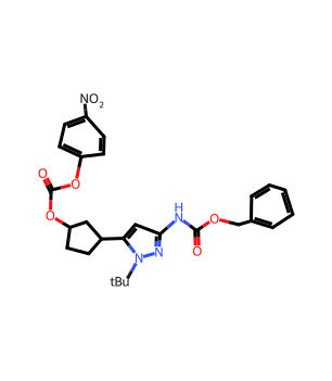 CC(C)(C)n1nc(NC(=O)OCc2ccccc2)cc1C1CCC(OC(=O)Oc2ccc([N+](=O)[O-])cc2)C1